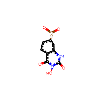 O=c1[nH]c2cc([SH](=O)=O)ccc2c(=O)n1O